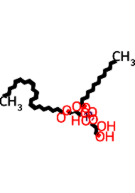 CCCCC/C=C\C/C=C\C/C=C\C/C=C\CCCCCC(=O)OC[C@H](COP(=O)(O)OC[C@@H](O)CO)OC(=O)CCCCCCCCCCCCC